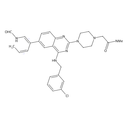 C/C=C\C(=C/NC=O)c1ccc2nc(N3CCN(CC(=O)NC)CC3)nc(NCc3cccc(Cl)c3)c2c1